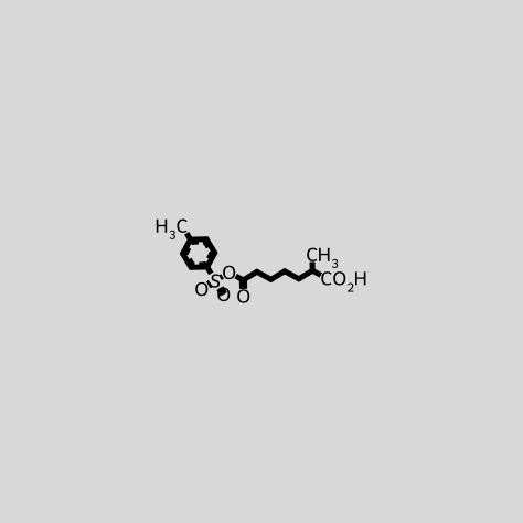 Cc1ccc(S(=O)(=O)OC(=O)CCCCC(C)C(=O)O)cc1